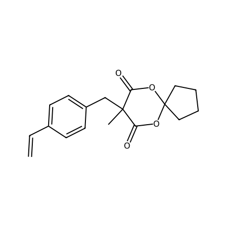 C=Cc1ccc(CC2(C)C(=O)OC3(CCCC3)OC2=O)cc1